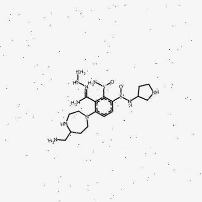 NCC1CCN(c2ccc([S+]([O-])NC3CCNC3)c([S+](N)[O-])c2/C(N)=N/NN)CCN1